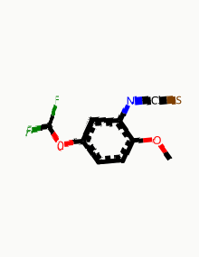 COc1ccc(OC(F)F)cc1N=C=S